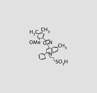 COc1cc(C)c(C)cc1-c1cnc(-c2cc(-c3ccccc3)[n+](CCCS(=O)(=O)O)c3ccc(C)cc23)o1